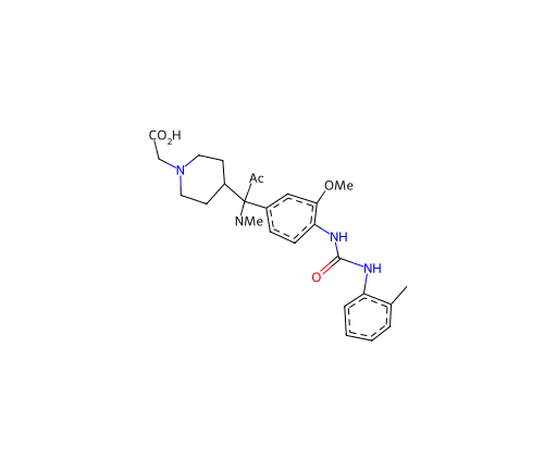 CNC(C(C)=O)(c1ccc(NC(=O)Nc2ccccc2C)c(OC)c1)C1CCN(CC(=O)O)CC1